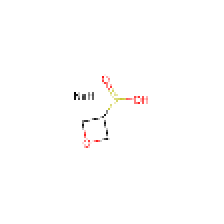 O=S(O)C1COC1.[NaH]